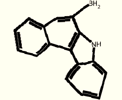 Bc1cc2ccccc2c2c1[nH]c1ccccc12